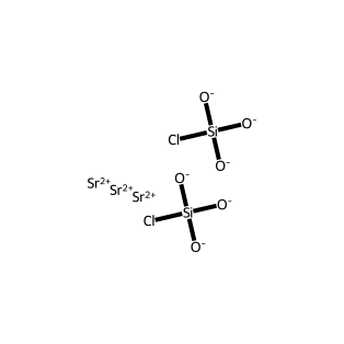 [O-][Si]([O-])([O-])Cl.[O-][Si]([O-])([O-])Cl.[Sr+2].[Sr+2].[Sr+2]